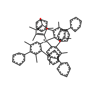 CC1=C(C)C(C)C([Si](c2cc(C)c(-c3ccccc3)c(C)c2-c2ccccc2)(c2cc(C)c(-c3ccccc3)c(C)c2-c2ccccc2)c2cc(C)c(-c3ccccc3)c(C)c2-c2ccccc2)=C1C